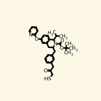 CC(C)C1c2ccc(Oc3ccccn3)cc2CC(Cc2cccc(CC(=O)CS)c2)N1C(=O)OC(C)(C)C